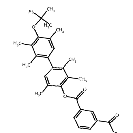 CCC(C)(C)Oc1c(C)cc(-c2cc(C)c(OC(=O)c3cccc(C(=O)C(C)C)c3)c(C)c2C)c(C)c1C